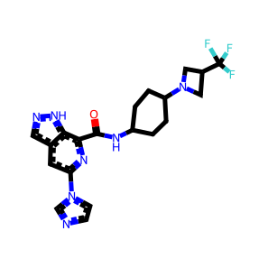 O=C(NC1CCC(N2CC(C(F)(F)F)C2)CC1)c1nc(-n2ccnc2)cc2cn[nH]c12